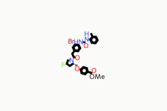 COC(=O)c1ccc(OC[C@@H]2C[C@H](F)CN2C(=O)Cc2ccc(NC(=O)Nc3ccccc3C)c(Br)c2)cc1